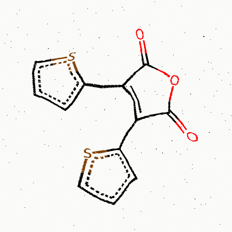 O=C1OC(=O)C(c2cccs2)=C1c1cccs1